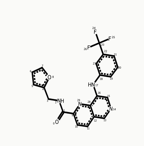 O=C(NCc1ccco1)c1ccc2cncc(Nc3cccc(C(F)(F)F)c3)c2n1